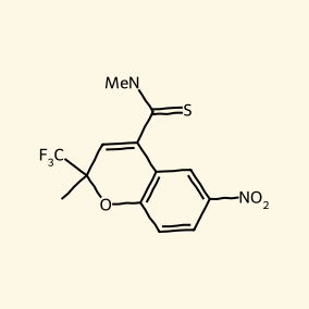 CNC(=S)C1=CC(C)(C(F)(F)F)Oc2ccc([N+](=O)[O-])cc21